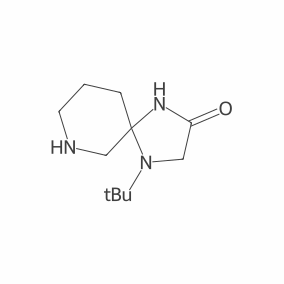 CC(C)(C)N1CC(=O)NC12CCCNC2